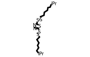 CC(C)CCCCCCSSc1nnc(SSCCCCCCC(C)C)s1